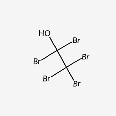 OC(Br)(Br)C(Br)(Br)Br